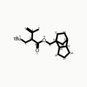 C=C(C)C(CC(C)(C)C)C(=O)OCC12CCC(C1)C1CCCC12